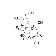 [2H]C(O)([C@H]1O[C@H](CO)[C@H](Cl)[C@H](O)[C@H]1O)[C@]1(O)O[C@H](CO)[C@@H](O)[C@@H]1O